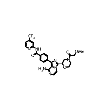 COCC(=O)N1CCO[C@@H](c2nc(-c3ccc(C(=O)Nc4cc(C(F)(F)F)ccn4)cc3)c3c(N)nccn23)C1